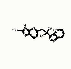 CC(C)(C)c1nc2ccc(CC(C)(C)c3snc4cccnc34)nc2[nH]1